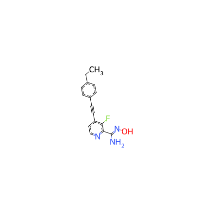 CCc1ccc(C#Cc2ccnc(C(N)=NO)c2F)cc1